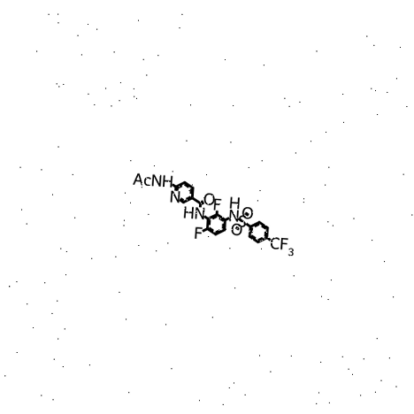 CC(=O)Nc1ccc(C(=O)Nc2c(F)ccc(NS(=O)(=O)c3ccc(C(F)(F)F)cc3)c2F)cn1